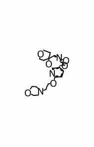 O=S1(=O)N=CC2(CCOCC2)Oc2nc(OCCN3CCOCC3)ccc21